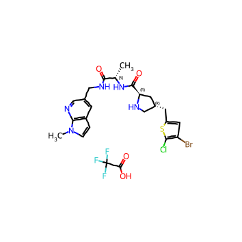 C[C@H](NC(=O)[C@H]1C[C@H](Cc2cc(Br)c(Cl)s2)CN1)C(=O)NCc1cnc2c(ccn2C)c1.O=C(O)C(F)(F)F